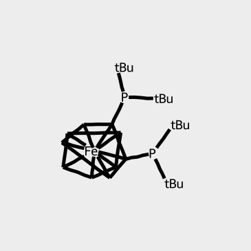 CC(C)(C)P(C(C)(C)C)[C]12[CH]3[CH]4[CH]5[C]1(P(C(C)(C)C)C(C)(C)C)[Fe]43521678[CH]2[CH]1[CH]6[CH]7[CH]28